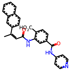 C/C(=C/C(=O)Nc1cc(C(=O)Nc2ccncc2)ccc1C(=O)O)c1ccc2ccccc2c1